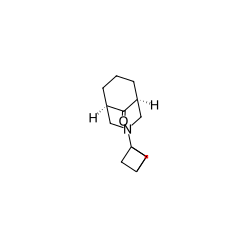 O=C1[C@@H]2CCC[C@H]1CN(C13CC(C1)C3)C2